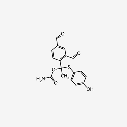 CC(OC(N)=O)(Sc1ccc(O)cc1)c1ccc(C=O)cc1C=O